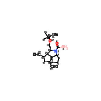 BC(=O)N1C2CCCC23C(C=O)CC(C=O)C3[C@H]1CO[Si](C)(C)C(C)(C)C